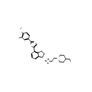 CC(C)Oc1ccc(-c2ncc(-c3cccc4c3CC[C@@H]4NS(=O)(=O)CCN3CCC(CC(=O)O)CC3)s2)cc1N